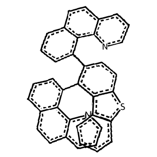 c1cnc2c(c1)ccc1cccc(-c3ccc4sc5ccccc5c4c3-c3cccc4ccc5cccnc5c34)c12